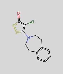 O=c1ssc(N2CCc3ccccc3CC2)c1Cl